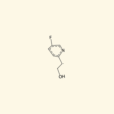 OC[CH]c1ccc(F)cn1